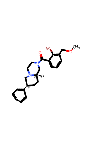 COCc1cccc(C(=O)N2CCN3C[C@@H](c4ccccc4)CC[C@@H]3C2)c1Br